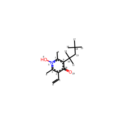 C=Cc1c(C)n(O)c(C)c(C(C)(C)CC(C)(C)C)c1=O